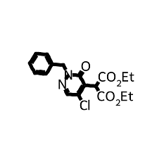 CCOC(=O)C(C(=O)OCC)c1c(Cl)cnn(Cc2ccccc2)c1=O